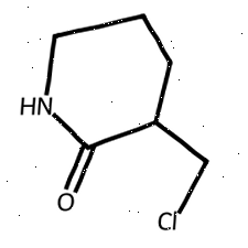 O=C1NCCCC1CCl